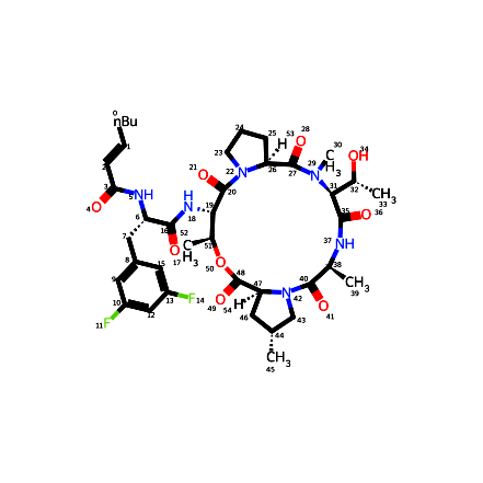 CCCC/C=C/C(=O)N[C@@H](Cc1cc(F)cc(F)c1)C(=O)N[C@@H]1C(=O)N2CCC[C@H]2C(=O)N(C)[C@@H]([C@@H](C)O)C(=O)N[C@@H](C)C(=O)N2C[C@H](C)C[C@H]2C(=O)O[C@H]1C